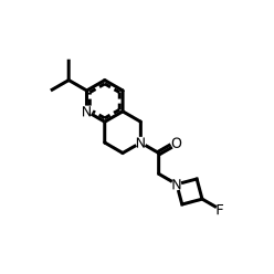 CC(C)c1ccc2c(n1)CCN(C(=O)CN1CC(F)C1)C2